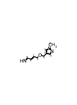 Cn1cc(COC/C=C/C=N)cn1